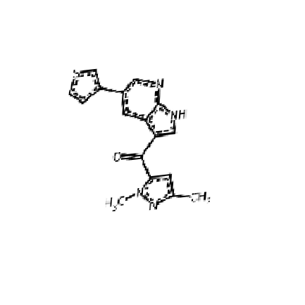 Cc1cc(C(=O)c2c[nH]c3ncc(-c4ccsc4)cc23)n(C)n1